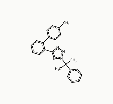 Cc1ccc(-c2ccccc2-c2nnn(C(C)(C)c3ccccc3)n2)cc1